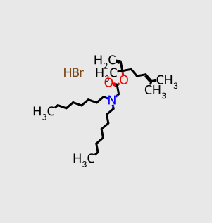 Br.C=CC(C)(CCC=C(C)C)OC(=O)CN(CCCCCCCC)CCCCCCCC